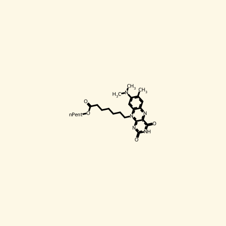 CCCCCOC(=O)CCCCCCn1c2nc(=O)[nH]c(=O)c-2nc2cc(C)c(N(C)C)cc21